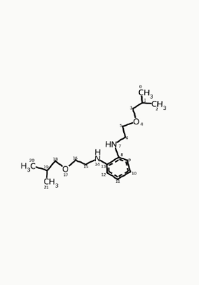 CC(C)COCCNc1ccccc1NCCOCC(C)C